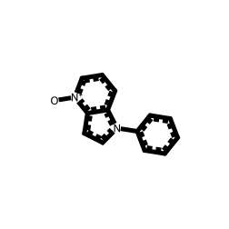 [O-][n+]1cccc2c1ccn2-c1ccccc1